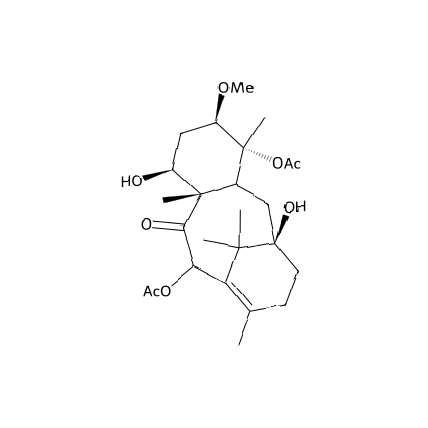 CO[C@@H]1C[C@H](O)[C@@]2(C)C(=O)C(OC(C)=O)C3=C(C)CC[C@@](O)(CC2[C@@]1(C)OC(C)=O)C3(C)C